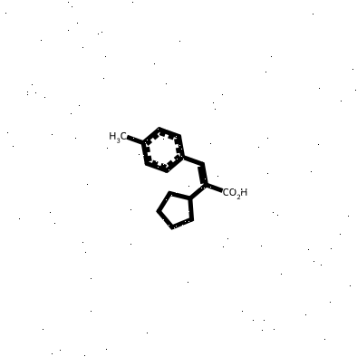 Cc1ccc(/C=C(/C(=O)O)C2CCCC2)cc1